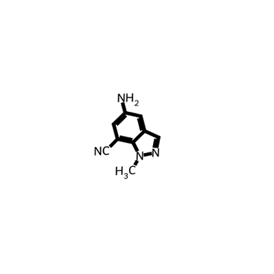 Cn1ncc2cc(N)cc(C#N)c21